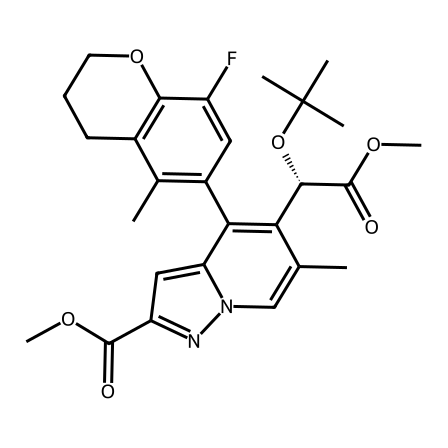 COC(=O)c1cc2c(-c3cc(F)c4c(c3C)CCCO4)c([C@H](OC(C)(C)C)C(=O)OC)c(C)cn2n1